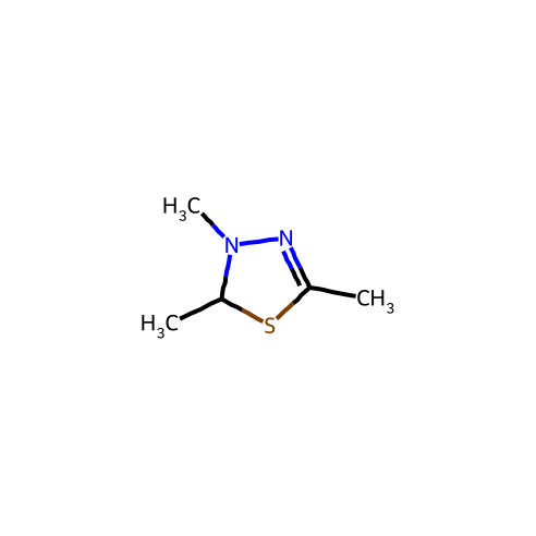 CC1=NN(C)C(C)S1